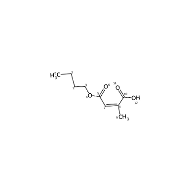 CCCCOC(=O)C=C(C)C(=O)O